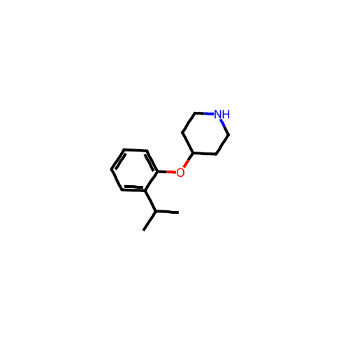 CC(C)c1ccccc1OC1CCNCC1